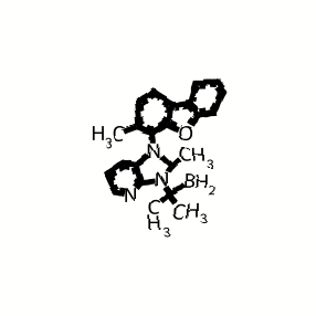 BC(C)(C)N1c2ncccc2N(c2c(C)ccc3c2oc2ccccc23)C1C